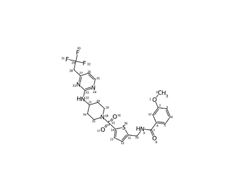 COc1cccc(C(=O)NCc2ccc(S(=O)(=O)N3CCC(Nc4nccc(CC(F)(F)F)n4)CC3)s2)c1